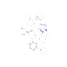 Cc1cc2c(c(-c3c(-c4ccccc4)nnnc3-c3cccc(-c4ccccc4)c3-c3c(-c4ccccc4-c4ccccc4)ccc4oc5ccccc5c34)c1C)Cc1ccccc1-2